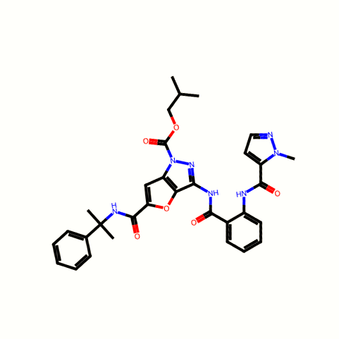 CC(C)COC(=O)n1nc(NC(=O)c2ccccc2NC(=O)c2ccnn2C)c2oc(C(=O)NC(C)(C)c3ccccc3)cc21